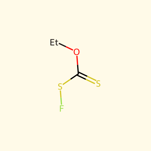 CCOC(=S)SF